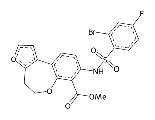 COC(=O)c1c(NS(=O)(=O)c2ccc(F)cc2Br)ccc2c1OCCc1occc1-2